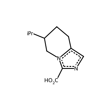 CC(C)C1CCc2cnc(C(=O)O)n2C1